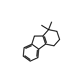 CC1(C)CCCC2=C1Cc1ccccc12